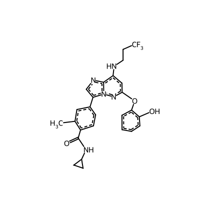 Cc1cc(-c2cnc3c(NCCC(F)(F)F)cc(Oc4ccccc4O)nn23)ccc1C(=O)NC1CC1